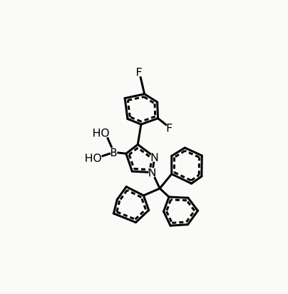 OB(O)c1cn(C(c2ccccc2)(c2ccccc2)c2ccccc2)nc1-c1ccc(F)cc1F